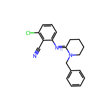 N#Cc1c(Cl)cccc1/N=C1\CCCCN1Cc1ccccc1